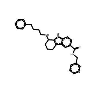 O=C(NCc1cccnc1)c1ccc2[nH]c3c(c2c1)CCCC3NCCCCc1ccccc1